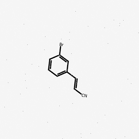 N#CC=Cc1cccc(Br)c1